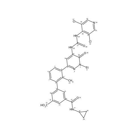 CCn1nc(-c2cccc(-c3cc(C(=O)O)cc(C(=O)NC4CC4)c3)c2C)cc(NC(=O)Nc2c(Cl)cncc2Cl)c1=O